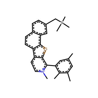 Cc1cc(C)c(C)c(-c2c3sc4c5cc(C[Si](C)(C)C)ccc5ccc4c3cc[n+]2C)c1